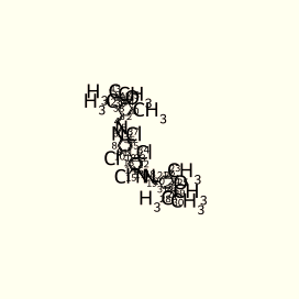 CC1=C/C(=C\N=N\c2cc(Cl)c(-c3cc(Cl)c(/N=N/C=C4\C=C(C)C(=O)C(C(C)(C)C)=C4)cc3Cl)cc2Cl)C=C(C(C)(C)C)C1=O